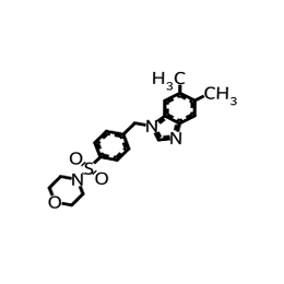 Cc1cc2ncn(Cc3ccc(S(=O)(=O)N4CCOCC4)cc3)c2cc1C